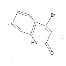 O=c1cc(Br)c2ccncc2[nH]1